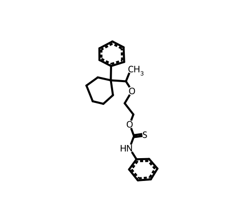 CC(OCCOC(=S)Nc1ccccc1)C1(c2ccccc2)CCCCC1